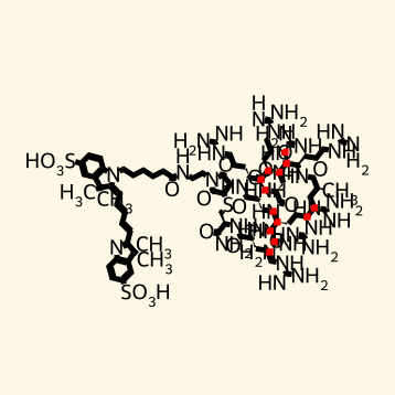 C[C@H](CCCNC(=N)N)C(=O)N[C@H](CCCNC(=N)N)C(=O)N[C@H](CCCNC(=N)N)C(=O)N[C@H](CCCNC(=N)N)C(=O)N[C@H](CCCNC(=N)N)C(=O)N[C@H](CCCNC(=N)N)C(=O)N[C@H](CCCNC(=N)N)C(=O)N[C@H](CCCNC(=N)N)C(=O)N[C@H](CSC1CC(=O)N(CCNC(=O)CCCCCN2/C(=C/C=C/C=C/C3=Nc4ccc(S(=O)(=O)O)cc4C3(C)C)C(C)(C)c3cc(S(=O)(=O)O)ccc32)C1=O)C(N)=O